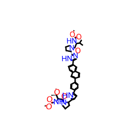 COC(=O)N[C@H](C(=O)N1CCC[C@H]1c1ncc(-c2ccc3cc(-c4ccc(-c5ccc(C6CCCN6C(=O)[C@@H](NC(=O)OC)[C@@H](C)OC)[nH]5)cc4)ccc3c2)[nH]1)C(C)C